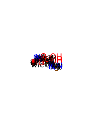 COC1C(SC2COCC(n3cc(-c4ccccc4)nn3)C2O)OC(CO)C(O)C1n1cc(-c2cncs2)nn1